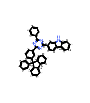 C1=CCC(c2nc(-c3cccc(C4(c5ccccc5)c5ccccc5-c5ccccc54)c3)nc(-c3ccc4c(c3)[nH]c3ccccc34)n2)C=C1